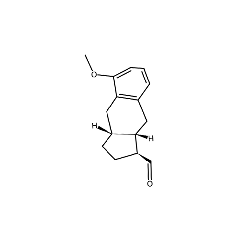 COc1cccc2c1C[C@H]1CC[C@H](C=O)[C@H]1C2